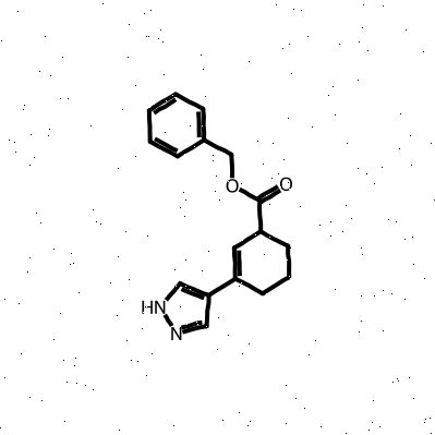 O=C(OCc1ccccc1)C1C=C(c2cn[nH]c2)CCC1